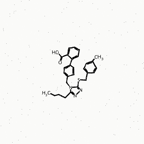 CCCCc1nnc(SCc2ccc(C)cc2)n1Cc1ccc(-c2ccccc2C(=O)O)cc1